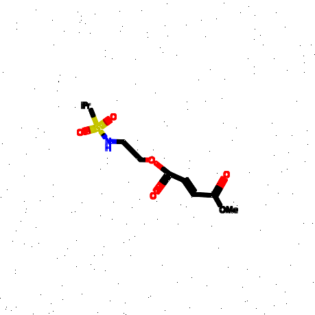 COC(=O)/C=C/C(=O)OCCNS(=O)(=O)C(C)C